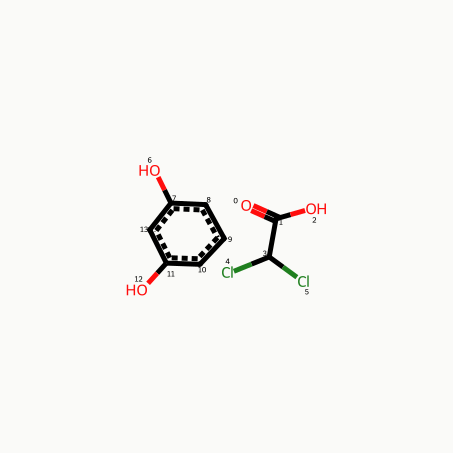 O=C(O)C(Cl)Cl.Oc1cccc(O)c1